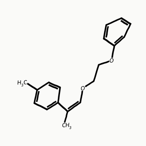 CC(=COCCOc1ccccc1)c1ccc(C)cc1